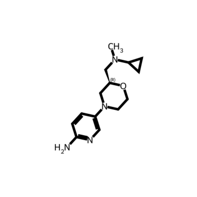 CN(C[C@@H]1CN(c2ccc(N)nc2)CCO1)C1CC1